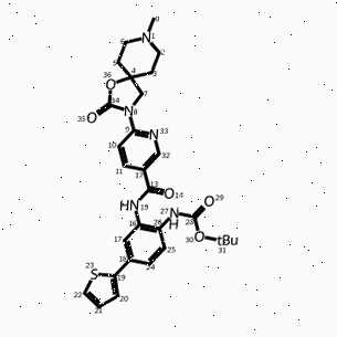 CN1CCC2(CC1)CN(c1ccc(C(=O)Nc3cc(-c4cccs4)ccc3NC(=O)OC(C)(C)C)cn1)C(=O)O2